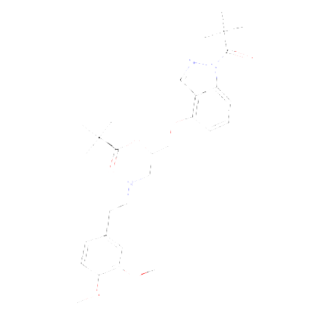 COc1ccc(CCNCC(COc2cccc3c2cnn3C(=O)C(C)(C)C)OC(=O)C(C)(C)C)cc1OC.Cl